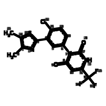 Cc1nc(-c2cc(-n3c(=O)cc(C(F)(F)F)[nH]c3=O)ccc2Cl)sc1C